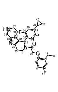 CCc1cc(F)ccc1OCC(=O)N1CCc2nc3n(c2C1c1ncc(C2CC2)cc1F)CCNC3